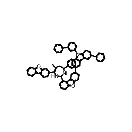 CC1=C(c2ccc3c(c2)oc2ccccc23)NC(c2cccc3oc4ccc(-c5ccc6c(c5)c5cc(-c7ccccc7)ccc5n6-c5cccc(-c6ccccc6)c5)cc4c23)NC(c2ccccc2)C1